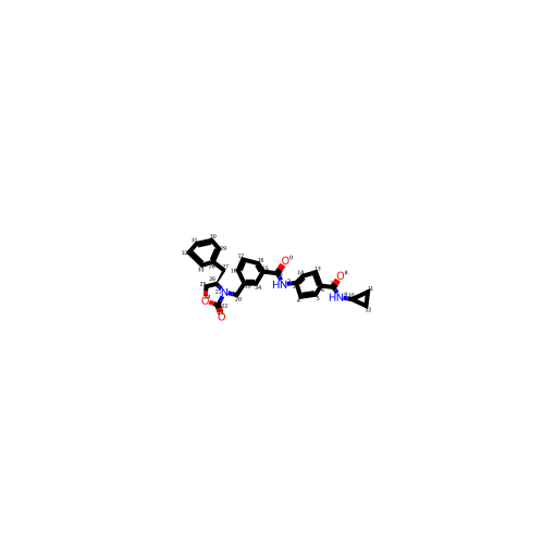 O=C(Nc1ccc(C(=O)NC2CC2)cc1)c1cccc(CN2C(=O)OC[C@H]2Cc2ccccc2)c1